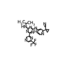 CC(C)Nc1nc(Nc2ccnc(C3(C#N)CC3)c2)nc(-c2cncc(C(F)(F)F)n2)n1